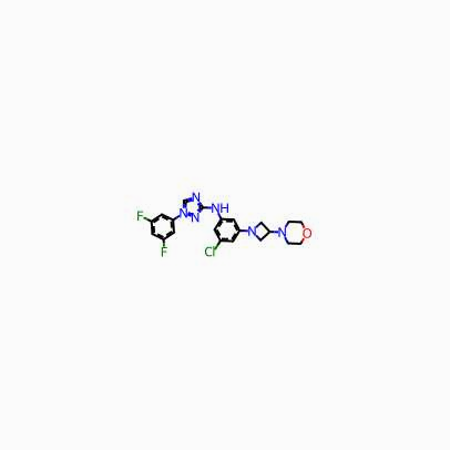 Fc1cc(F)cc(-n2cnc(Nc3cc(Cl)cc(N4CC(N5CCOCC5)C4)c3)n2)c1